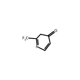 O=C1C=CN=C(C(F)(F)F)C1